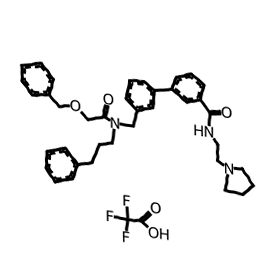 O=C(NCCN1CCCC1)c1cccc(-c2cccc(CN(CCCc3ccccc3)C(=O)COCc3ccccc3)c2)c1.O=C(O)C(F)(F)F